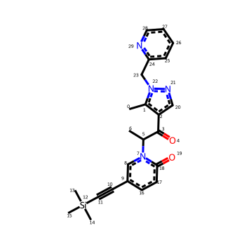 Cc1c(C(=O)C(C)n2cc(C#C[Si](C)(C)C)ccc2=O)cnn1Cc1ccccn1